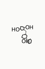 Oc1ccc(O)c(Cc2ccc(O)c(-c3ccccc3)c2)c1